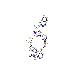 CCO[C@@H]1C2=NC(c3ccc4c(c3)c(c(-c3cccnc3[C@H](C)OC)n4CC)CC(C)(C)COC(=O)[C@@H]3CCCN(N3)C(=O)[C@H]1NC(=O)[C@@H]1[C@@H](C)[C@H]1c1cc3ccccc3cn1)C(C)S2